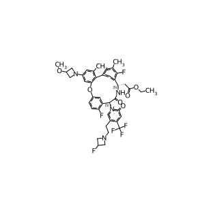 CCOC(=O)C[C@@H]1NC(=O)[C@@H](n2cc(CCN3CC(F)C3)c(C(F)(F)F)cc2=O)c2cc(ccc2F)Oc2cc(N3CC(OC)C3)cc(C)c2-c2cc(C)c(F)c1c2